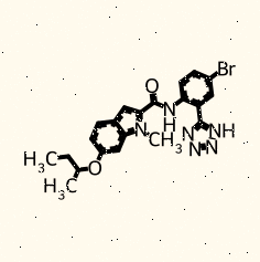 CCC(C)Oc1ccc2cc(C(=O)Nc3ccc(Br)cc3-c3nnn[nH]3)n(C)c2c1